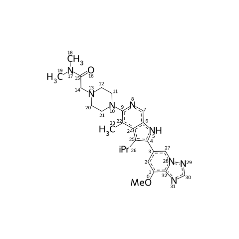 COc1cc(-c2[nH]c3cnc(N4CCN(CC(=O)N(C)C)CC4)c(C)c3c2C(C)C)cn2ncnc12